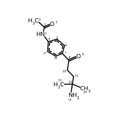 CC(=O)Nc1ccc(C(=O)CCC(C)(C)N)cc1